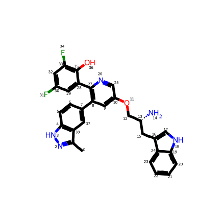 Cc1n[nH]c2ccc(-c3cc(OC[C@H](N)Cc4c[nH]c5ccccc45)cnc3-c3cc(F)cc(F)c3O)cc12